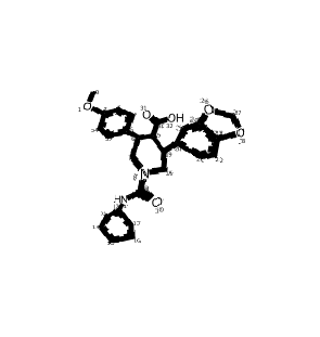 COc1ccc(C2CN(C(=O)Nc3ccccc3)CC(c3ccc4c(c3)OCO4)C2C(=O)O)cc1